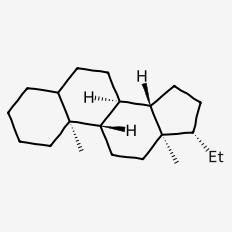 CC[C@H]1CC[C@H]2[C@@H]3CCC4CCCC[C@]4(C)[C@H]3CC[C@]12C